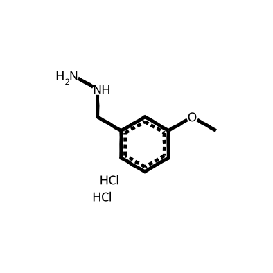 COc1cccc(CNN)c1.Cl.Cl